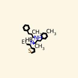 B=C(NC(Cc1ccc(C)cc1)/C(C)=N/C(=C\CC)c1cccs1)C(C)Cc1ccccc1